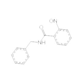 O=Nc1ccccc1C(=O)NCc1ccccc1